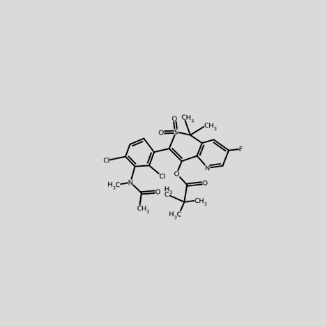 CC(=O)N(C)c1c(Cl)ccc(C2=C(OC(=O)C(C)(C)C)c3ncc(F)cc3C(C)(C)S2(=O)=O)c1Cl